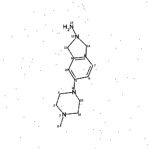 CN1CCN(c2ccc3c(c2)CN(N)C3)CC1